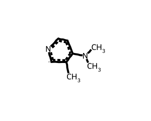 Cc1[c]nccc1N(C)C